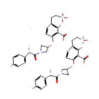 N[C@@H](C(=O)N1CC(Oc2ccc3c(c2C(=O)O)O[B-](O)(O)CC3)C1)c1ccc(O)cc1.N[C@@H](C(=O)N1CC(Oc2ccc3c(c2C(=O)O)O[B-](O)(O)CC3)C1)c1ccc(O)cc1.[Na+].[Na+]